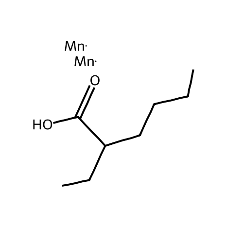 CCCCC(CC)C(=O)O.[Mn].[Mn]